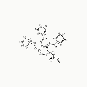 C=CC(=O)Oc1ccc(/C=C/c2ccccc2)c(/C=C/c2ccccc2)c1/C=C/c1ccccc1